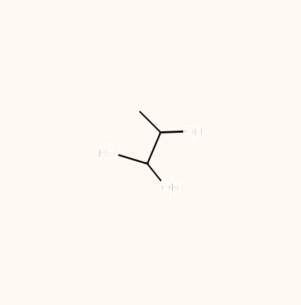 CC(O)C(O)O